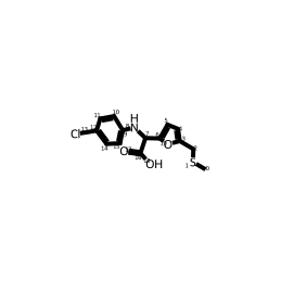 CSCc1ccc(C(Nc2ccc(Cl)cc2)C(=O)O)o1